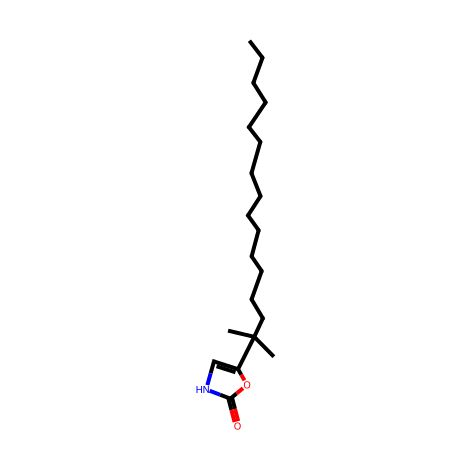 CCCCCCCCCCCCCCC(C)(C)c1c[nH]c(=O)o1